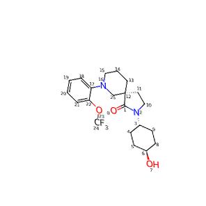 O=C1N([C@H]2CC[C@H](O)CC2)CC[C@]12CCCN(c1ccccc1OC(F)(F)F)C2